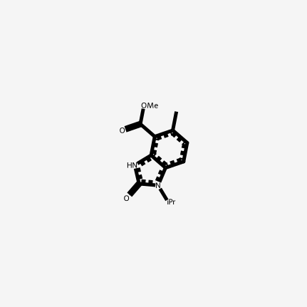 COC(=O)c1c(C)ccc2c1[nH]c(=O)n2C(C)C